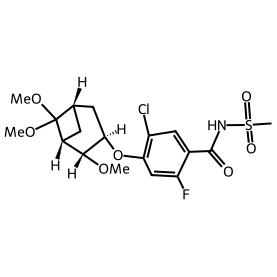 CO[C@@H]1[C@H]2C[C@@H](C[C@H]1Oc1cc(F)c(C(=O)NS(C)(=O)=O)cc1Cl)C2(OC)OC